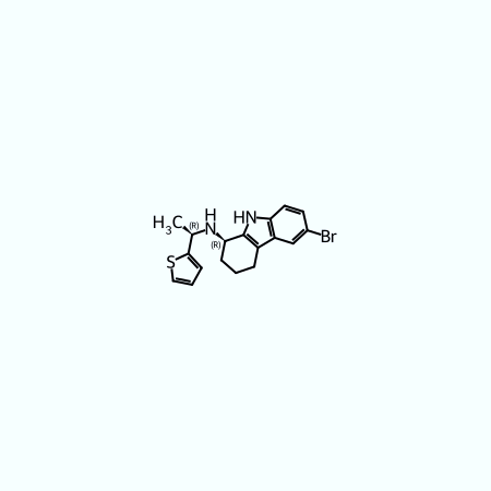 C[C@@H](N[C@@H]1CCCc2c1[nH]c1ccc(Br)cc21)c1cccs1